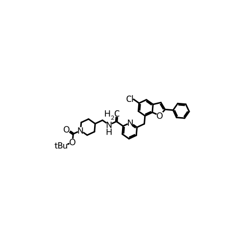 C=C(NCC1CCN(C(=O)OC(C)(C)C)CC1)c1cccc(Cc2cc(Cl)cc3cc(-c4ccccc4)oc23)n1